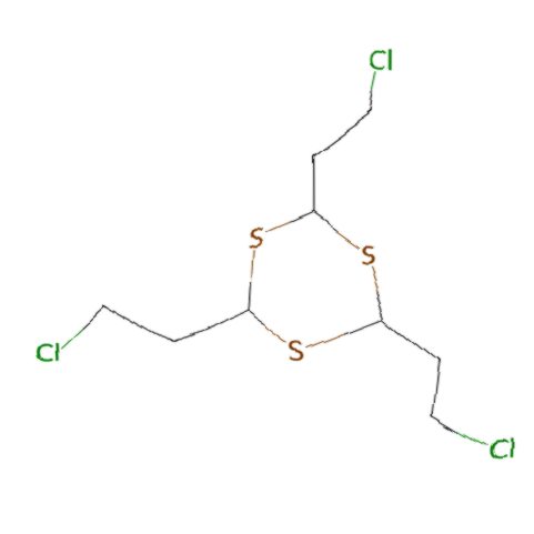 ClCCC1SC(CCCl)SC(CCCl)S1